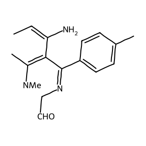 C\C=C(N)/C(C(=N\CC=O)/c1ccc(C)cc1)=C(\C)NC